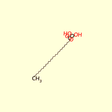 CCCCCCCCCCCCCCCCCCCCCCCCCCCCCCCc1cc(=O)c2c(O)cc(O)cc2o1